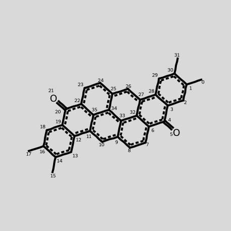 Cc1cc2c(=O)c3ccc4cc5c6cc(C)c(C)cc6c(=O)c6ccc7cc(c2cc1C)c3c4c7c65